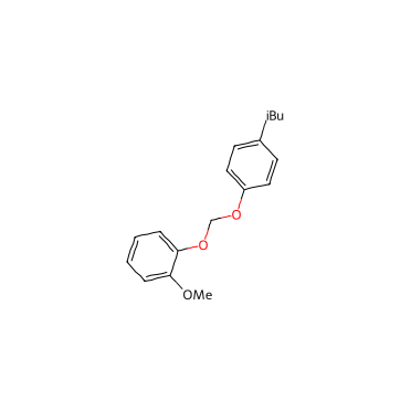 CCC(C)c1ccc(OCOc2ccccc2OC)cc1